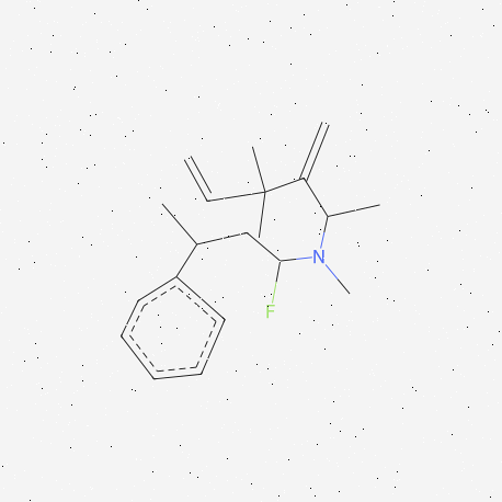 C=CC(C)(C)C(=C)C(C)N(C)C(F)CC(C)c1ccccc1